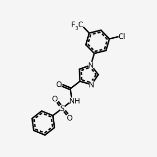 O=C(NS(=O)(=O)c1ccccc1)c1cn(-c2cc(Cl)cc(C(F)(F)F)c2)cn1